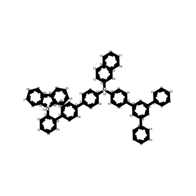 c1ccc(-c2cc(-c3ccccc3)cc(-c3ccc(N(c4ccc(-c5ccc(-c6ccccc6-n6c7ccccc7c7ccccc76)cc5)cc4)c4ccc5ccccc5c4)cc3)c2)cc1